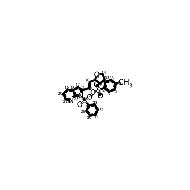 Cc1ccc(S(=O)(=O)O/C(=C\C2CCCO2)c2cc3cccnc3n2S(=O)(=O)c2ccccc2)cc1